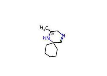 C[C@H]1CN=CC2(CCCCC2)N1